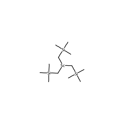 C[Si](C)(C)[CH2][Sc]([CH2][Si](C)(C)C)[CH2][Si](C)(C)C